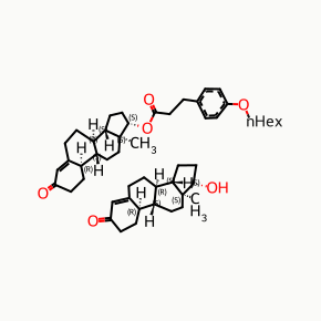 CCCCCCOc1ccc(CCC(=O)O[C@H]2CC[C@H]3[C@@H]4CCC5=CC(=O)CC[C@@H]5[C@H]4CC[C@]23C)cc1.C[C@]12CC[C@H]3[C@@H](CCC4=CC(=O)CC[C@@H]43)[C@@H]1CC[C@@H]2O